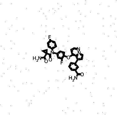 NC(=O)c1cccc(-c2ccn3nccc(Oc4ccc(N(C(=O)C5(C(N)=O)CC5)c5ccc(F)cc5)cc4F)c23)c1